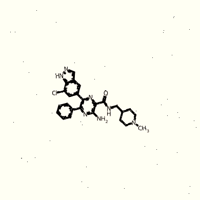 CN1CCC(CNC(=O)c2nc(-c3cc(Cl)c4[nH]ncc4c3)c(-c3ccccc3)nc2N)CC1